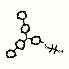 CC(C)(O)C(C)(C)OSc1ccc(N(c2ccc(-c3ccccc3)cc2)c2ccc(-c3ccccc3)cc2)cc1